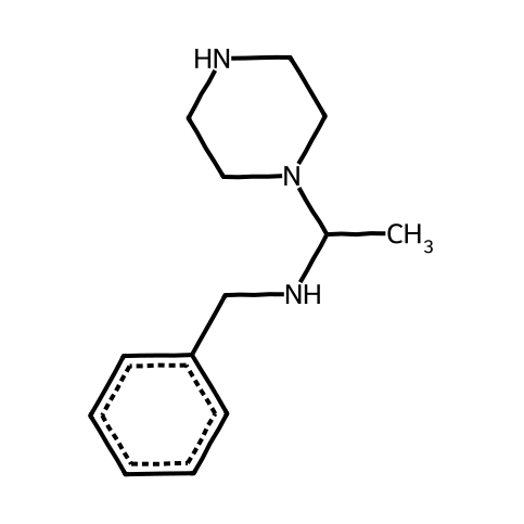 CC(NCc1ccccc1)N1CCNCC1